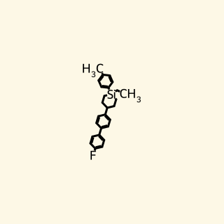 CC[Si]1(c2ccc(C)cc2)CCC(c2ccc(-c3ccc(F)cc3)cc2)CC1